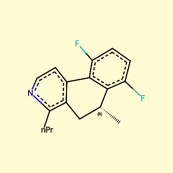 CCCc1nccc2c1C[C@@H](C)c1c(F)ccc(F)c1-2